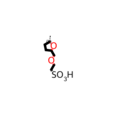 C[C@H]1CCC(COCCS(=O)(=O)O)O1